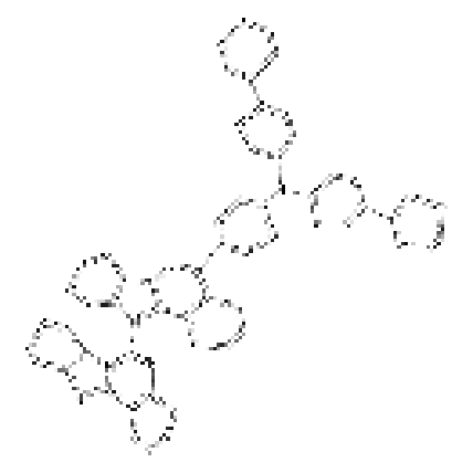 c1ccc(-c2ccc(N(c3ccc(-c4ccccc4)cc3)c3ccc(-c4cc5c6ccccc6n(-c6nc7ccccc7c7nc8ccccc8n67)c5c5ccccc45)cc3)cc2)cc1